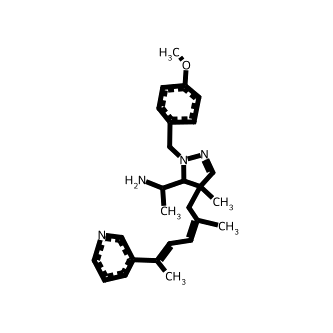 COc1ccc(CN2N=CC(C)(C/C(C)=C\C=C(/C)c3cccnc3)C2C(C)N)cc1